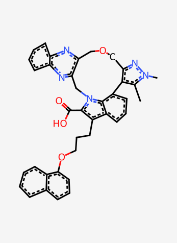 Cc1c2c(nn1C)COCc1nc3ccccc3nc1Cn1c(C(=O)O)c(CCCOc3cccc4ccccc34)c3cccc-2c31